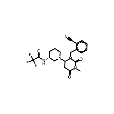 CN1C(=O)CC(N2CCC[C@@H](NC(=O)C(F)(F)F)C2)N(Cc2ccccc2C#N)C1=O